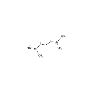 CCCCN(C)CCCN(C)CCCC